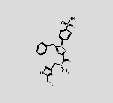 Cc1nc(CN(C)C(=O)c2nc(Cc3ccccc3)n(-c3ccc(S(N)(=O)=O)cc3)n2)c[nH]1